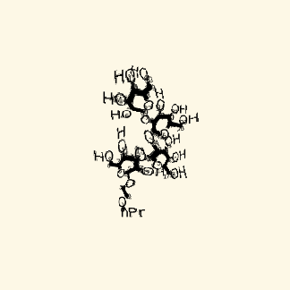 CCCOCCO[C@H]1OC(CO)[C@@H](O)[C@H](O[C@H]2OC(CO)[C@@H](O)[C@H](O)C2O[C@H]2OC(CO)[C@@H](O)[C@H](O)C2O[C@H]2OC(CO)[C@@H](O)[C@H](O)C2O)C1O